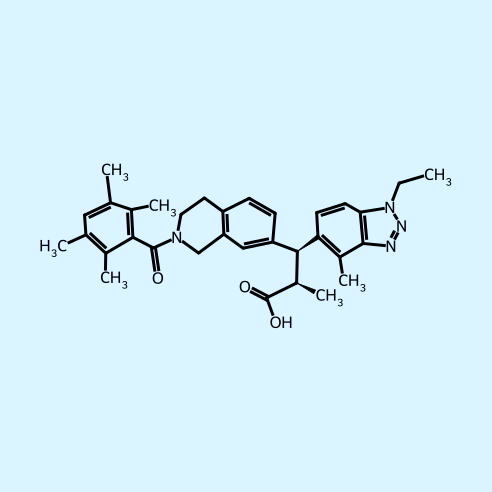 CCn1nnc2c(C)c([C@H](c3ccc4c(c3)CN(C(=O)c3c(C)c(C)cc(C)c3C)CC4)[C@@H](C)C(=O)O)ccc21